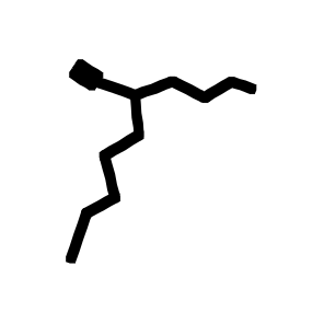 C#C[C](CCCC)CCCCC